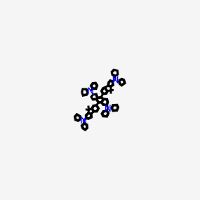 CC1(C)c2cc(-c3c4c(c(-c5ccc6c(c5)C(C)(C)c5cc(N(c7ccccc7)c7ccccc7)ccc5-6)c5cc(N(c6ccccc6)c6ccccc6)ccc35)=CCC(N(C3=CCCC=C3)c3ccccc3)C=4)ccc2-c2ccc(N(C3=CC=CCC3)c3ccccc3)cc21